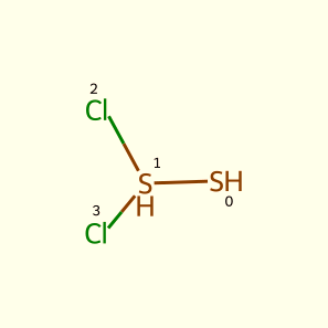 S[SH](Cl)Cl